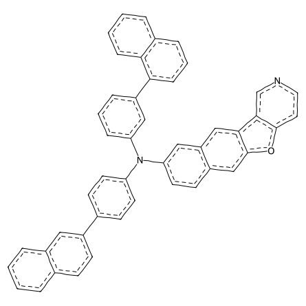 c1cc(-c2cccc3ccccc23)cc(N(c2ccc(-c3ccc4ccccc4c3)cc2)c2ccc3cc4oc5ccncc5c4cc3c2)c1